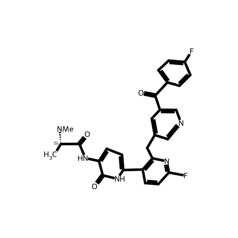 CN[C@@H](C)C(=O)Nc1ccc(-c2ccc(F)nc2Cc2cncc(C(=O)c3ccc(F)cc3)c2)[nH]c1=O